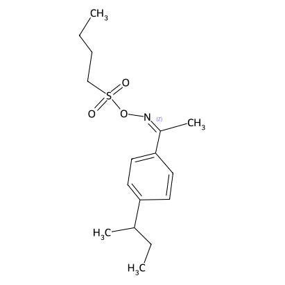 CCCCS(=O)(=O)O/N=C(/C)c1ccc(C(C)CC)cc1